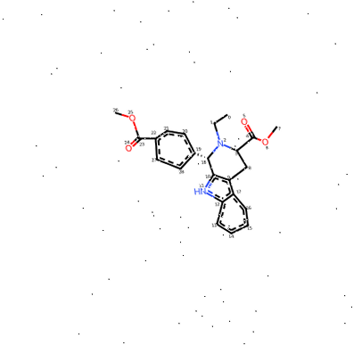 CCN1C(C(=O)OC)Cc2c([nH]c3ccccc23)[C@@H]1c1ccc(C(=O)OC)cc1